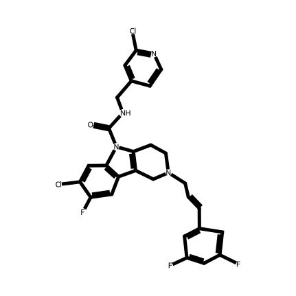 O=C(NCc1ccnc(Cl)c1)n1c2c(c3cc(F)c(Cl)cc31)CN(CC=Cc1cc(F)cc(F)c1)CC2